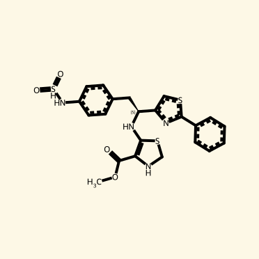 COC(=O)C1=C(N[C@@H](Cc2ccc(N[SH](=O)=O)cc2)c2csc(-c3ccccc3)n2)SCN1